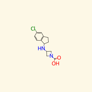 O=C(O)N1CC(NC2CCc3cc(Cl)ccc32)C1